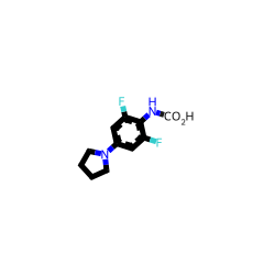 O=C(O)Nc1c(F)cc(N2CCCC2)cc1F